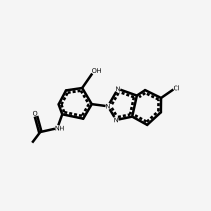 CC(=O)Nc1ccc(O)c(-n2nc3ccc(Cl)cc3n2)c1